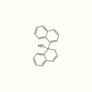 OC1(c2cccc3ccccc23)CC=Cc2ccccc21